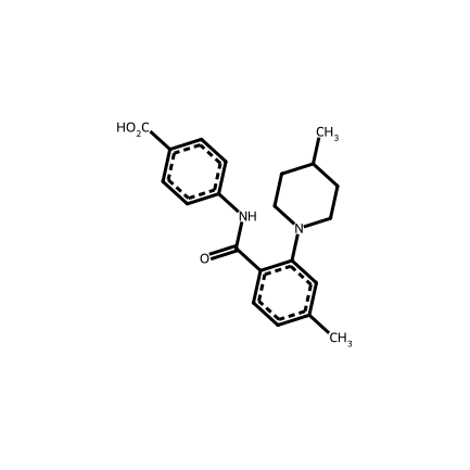 Cc1ccc(C(=O)Nc2ccc(C(=O)O)cc2)c(N2CCC(C)CC2)c1